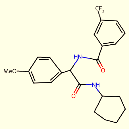 COc1ccc(C(NC(=O)c2cccc(C(F)(F)F)c2)C(=O)NC2CCCCC2)cc1